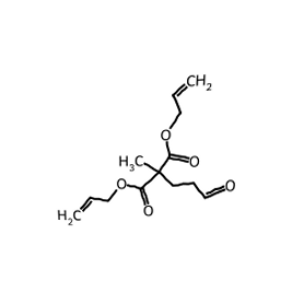 C=CCOC(=O)C(C)(CCC=O)C(=O)OCC=C